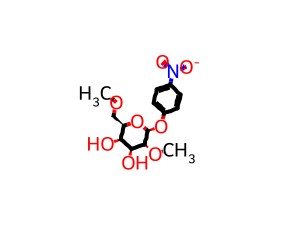 COC[C@H]1O[C@@H](Oc2ccc([N+](=O)[O-])cc2)[C@H](OC)[C@@H](O)[C@H]1O